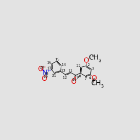 COc1cc(OC)cc(C(=O)C=Cc2cccc([N+](=O)[O-])c2)c1